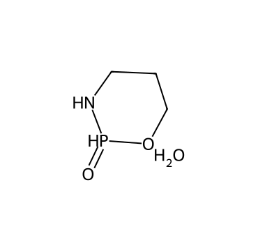 O.O=[PH]1NCCCO1